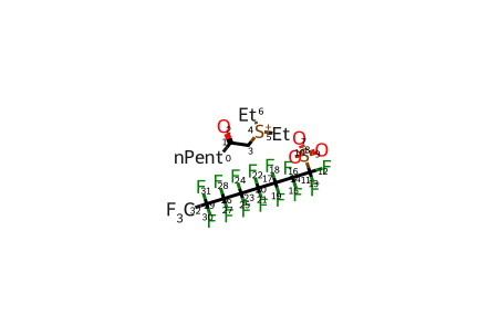 CCCCCC(=O)C[S+](CC)CC.O=S(=O)([O-])C(F)(F)C(F)(F)C(F)(F)C(F)(F)C(F)(F)C(F)(F)C(F)(F)C(F)(F)F